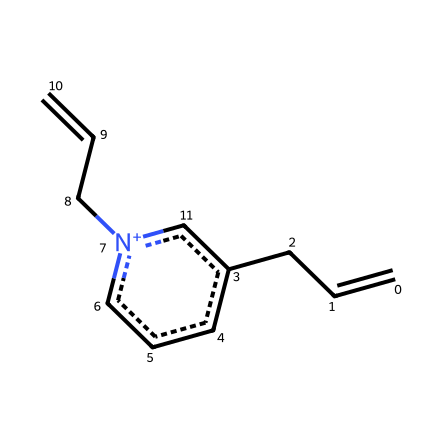 C=CCc1ccc[n+](CC=C)c1